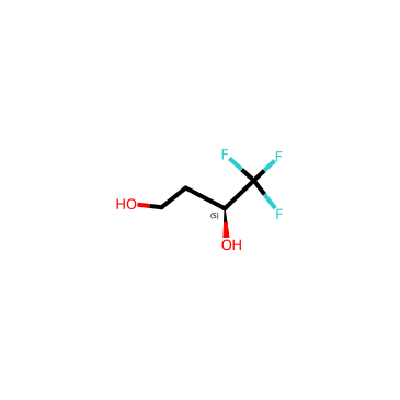 OCC[C@H](O)C(F)(F)F